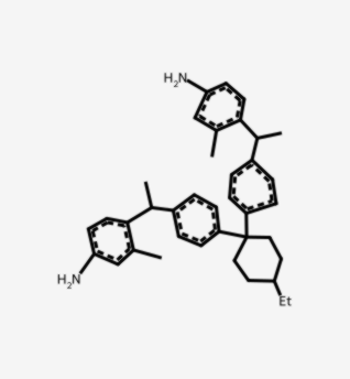 CCC1CCC(c2ccc(C(C)c3ccc(N)cc3C)cc2)(c2ccc(C(C)c3ccc(N)cc3C)cc2)CC1